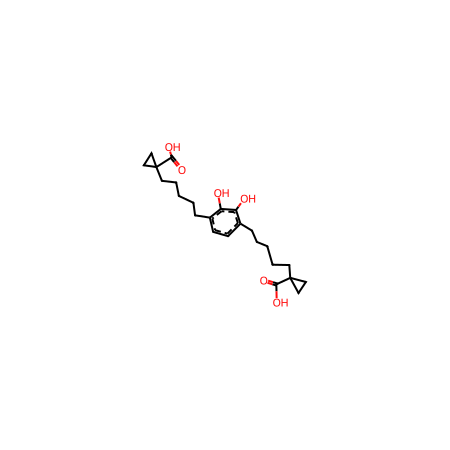 O=C(O)C1(CCCCCc2ccc(CCCCCC3(C(=O)O)CC3)c(O)c2O)CC1